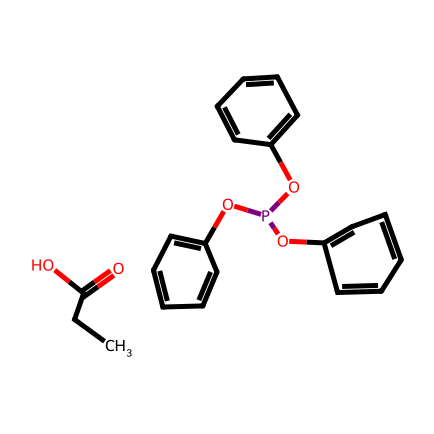 CCC(=O)O.c1ccc(OP(Oc2ccccc2)Oc2ccccc2)cc1